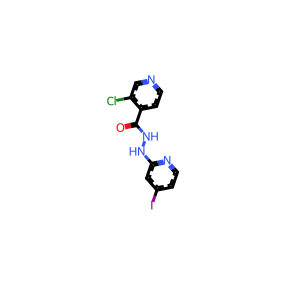 O=C(NNc1cc(I)ccn1)c1ccncc1Cl